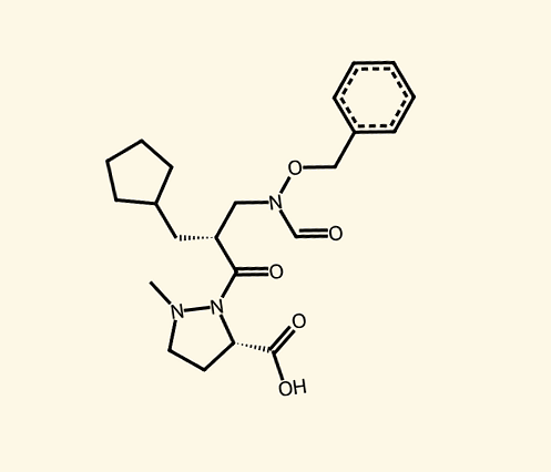 CN1CC[C@@H](C(=O)O)N1C(=O)[C@H](CC1CCCC1)CN(C=O)OCc1ccccc1